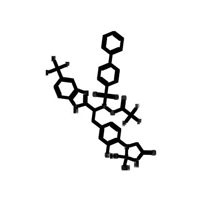 O=C1CN(c2ccc(CC(c3nc4cc(C(F)(F)F)ccc4[nH]3)N(OC(=O)C(F)(F)F)S(=O)(=O)c3ccc(-c4ccccc4)cc3)cc2Cl)S(O)(O)N1